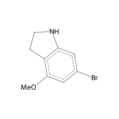 COc1cc(Br)cc2c1CCN2